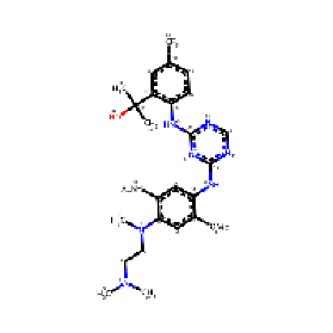 COc1cc(N(C)CCN(C)C)c(NC(C)=O)cc1Nc1ncnc(Nc2ccc(C(F)(F)F)cc2C(C)(C)O)n1